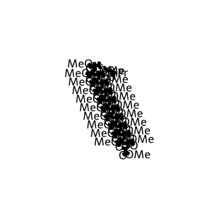 COC(=O)C(C)CC(C)(CC(C)(CC(C)(CC(C)(CC(C)(CC(C)(CC(C)(CC(C)(CC(C)(CC(C)(CC(C)(CC(C)(CC(C)(CC(C)(CC(C)(CC(C)(CC(C)(CC(C)(CC(C)(C(=O)OC)C(C)SCCOC(=O)C(C)C)C(=O)OC)C(=O)OC)C(=O)OC)C(=O)OC)C(=O)OC)C(=O)OC)C(=O)OC)C(=O)OC)C(=O)OC)C(=O)OC)C(=O)OC)C(=O)OC)C(=O)OC)C(=O)OC)C(=O)OC)C(=O)OC)C(=O)OC)C(=O)OC